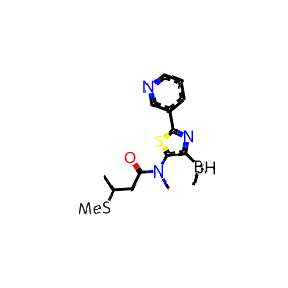 CBc1nc(-c2cccnc2)sc1N(C)C(=O)CC(C)SC